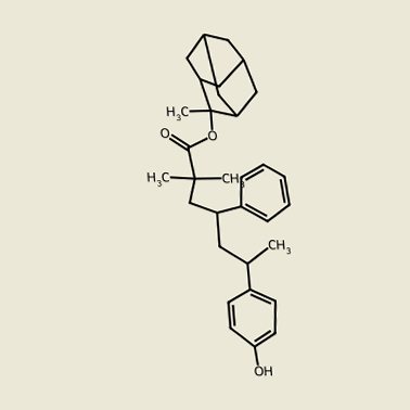 CC(CC(CC(C)(C)C(=O)OC1(C)C2CC3CC(C2)CC1C3)c1ccccc1)c1ccc(O)cc1